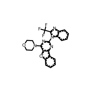 FC(F)(F)c1nc2ccccc2n1-c1nc(N2CCOCC2)c2oc3ccccc3c2n1